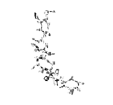 COc1ccc(-c2ccnc(Nc3cccc(S(=O)(=O)NCC4CCCCC4)c3)n2)cc1F